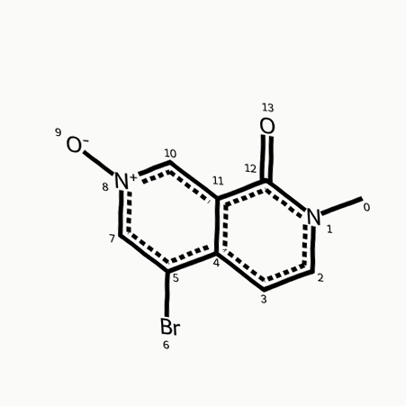 Cn1ccc2c(Br)c[n+]([O-])cc2c1=O